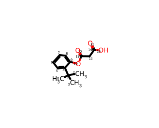 CC(C)(C)c1ccccc1OC(=O)CC(=O)O